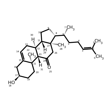 CC(C)=CCC[C@@H](C)[C@H]1CC[C@H]2[C@@H]3CC=C4C[C@H](O)CC[C@]4(C)[C@H]3C(=O)C[C@]12C